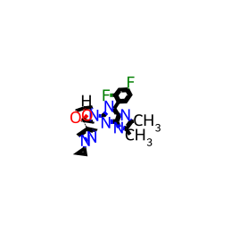 Cc1nc2nc(N3C[C@@H]4CO[C@](c5cnn(C6CC6)c5)(C3)O4)nc(-c3ccc(F)cc3F)c2nc1C